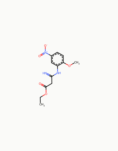 CCOC(=O)CC(=N)Nc1cc([N+](=O)[O-])ccc1OC